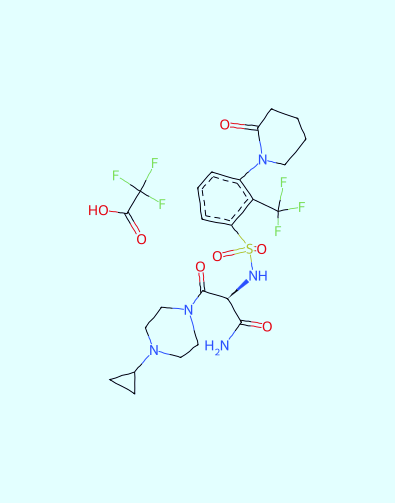 NC(=O)[C@H](NS(=O)(=O)c1cccc(N2CCCCC2=O)c1C(F)(F)F)C(=O)N1CCN(C2CC2)CC1.O=C(O)C(F)(F)F